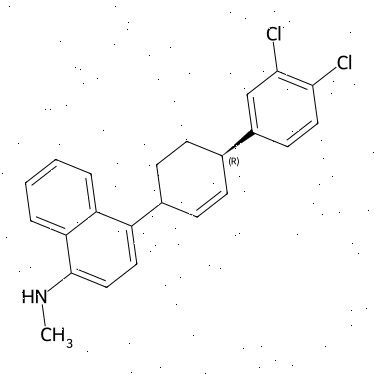 CNc1ccc(C2C=C[C@H](c3ccc(Cl)c(Cl)c3)CC2)c2ccccc12